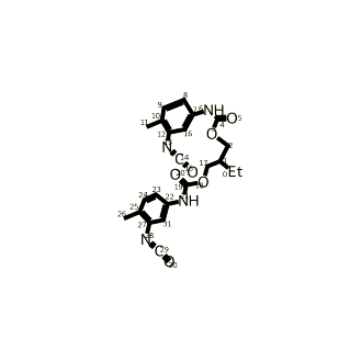 CCC(COC(=O)Nc1ccc(C)c(N=C=O)c1)COC(=O)Nc1ccc(C)c(N=C=O)c1